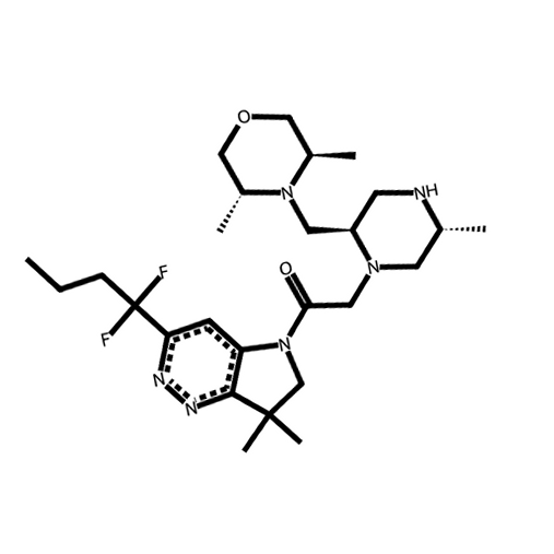 CCCC(F)(F)c1cc2c(nn1)C(C)(C)CN2C(=O)CN1C[C@@H](C)NC[C@@H]1CN1[C@H](C)COC[C@H]1C